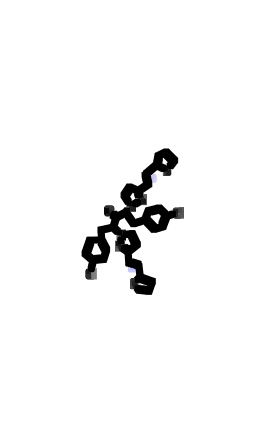 O=C(C(Cc1ccc(Cl)cc1)n1ccc(/C=C/c2cccs2)n1)C(Cc1ccc(Cl)cc1)n1ccc(/C=C/c2cccs2)n1